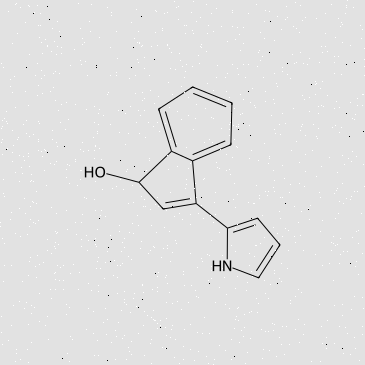 OC1C=C(c2ccc[nH]2)c2ccccc21